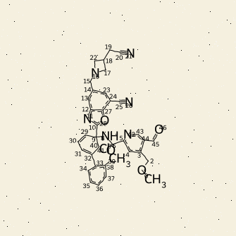 COCc1cc(C(=O)NC2(c3nc4cc(CN5CC(CC#N)C5)cc(C#N)c4o3)C=CC=C(c3ccccc3C)C2Cl)ncc1C=O